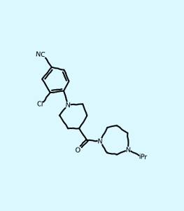 CC(C)N1CCCN(C(=O)C2CCN(c3ccc(C#N)cc3Cl)CC2)CC1